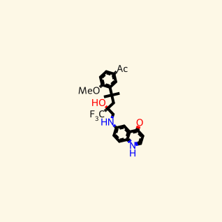 COc1ccc(C(C)=O)cc1C(C)(C)CC(O)(CNc1ccc2[nH]ccc(=O)c2c1)C(F)(F)F